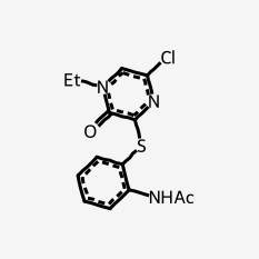 CCn1cc(Cl)nc(Sc2ccccc2NC(C)=O)c1=O